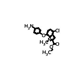 CCOC(=O)c1cc2c(Cl)ccc(Oc3ccc(N)cc3)c2n1C